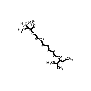 CCC(OCCCCCOCCOC(OC)C(C)C)C(C)C